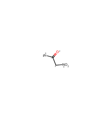 CC(C)C(=O)C[N+](=O)[O-]